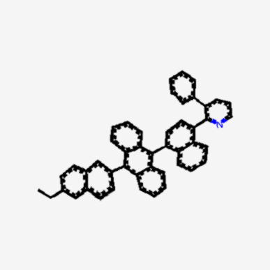 CCc1ccc2cc(-c3c4ccccc4c(-c4ccc(-c5ncccc5-c5ccccc5)c5ccccc45)c4ccccc34)ccc2c1